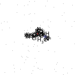 CN1CCC[C@@H]1/C=C/C(=O)Nc1ccc2ncnc(Nc3ccc(OCc4ccccn4)c(Cl)c3)c2c1OC1CC1